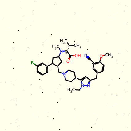 CCn1nc(Cc2ccc(OC)c(C#N)c2)cc1C1CCN(CC2CC(N(C)[C@@H](C(=O)O)C(C)C)CC2c2cccc(F)c2)CC1